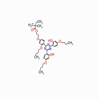 CCCCOc1ccc(-c2nc(-c3ccc(OCCCC)cc3O)nc(-c3ccc(OCCOC(=O)C(C)(C)CC)cc3OCCCC)n2)c(O)c1